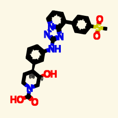 CS(=O)(=O)c1ccc(-c2cccn3nc(Nc4cccc([C@@H]5CCN(C(=O)O)C[C@@H]5O)c4)nc23)cc1